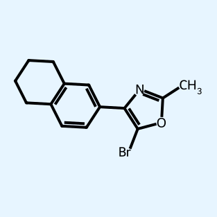 Cc1nc(-c2ccc3c(c2)CCCC3)c(Br)o1